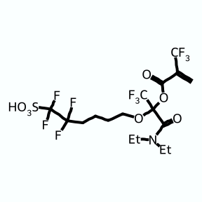 C=C(C(=O)OC(OCCCCC(F)(F)C(F)(F)S(=O)(=O)O)(C(=O)N(CC)CC)C(F)(F)F)C(F)(F)F